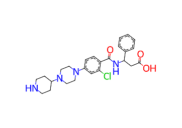 O=C(O)CC(NC(=O)c1ccc(N2CCN(C3CCNCC3)CC2)cc1Cl)c1ccccc1